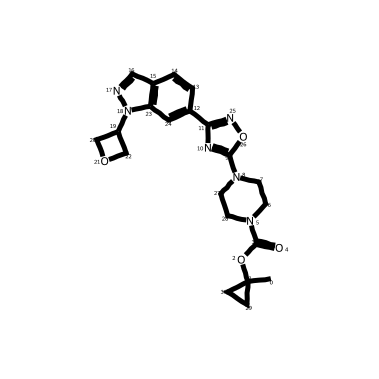 CC1(OC(=O)N2CCN(c3nc(-c4ccc5cnn(C6COC6)c5c4)no3)CC2)CC1